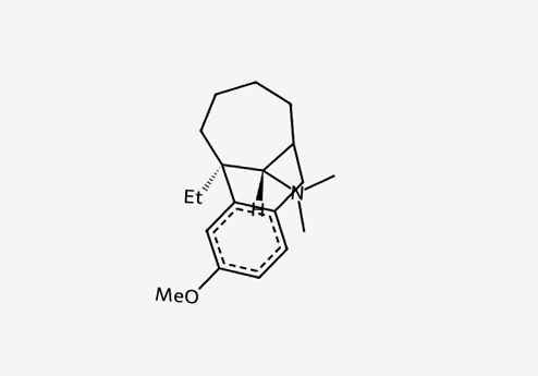 CC[C@@]12CCCCC(Cc3ccc(OC)cc31)[C@@H]2N(C)C